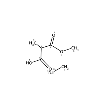 COC(=O)C(C)C(=O)O.[CH3][Na]